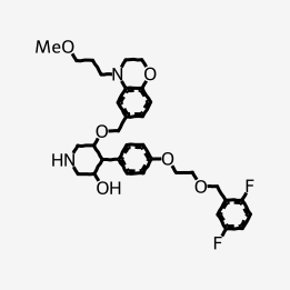 COCCCN1CCOc2ccc(COC3CNCC(O)C3c3ccc(OCCOCc4cc(F)ccc4F)cc3)cc21